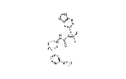 O=C(O)c1cccc([C@H]2C[C@H](NC(=O)C3C(c4ccc5c(c4)OCO5)C3(F)F)CCO2)c1